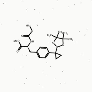 COC(=O)[C@H](Cc1ccc(C2(B3OC(C)(C)C(C)(C)O3)CC2)cc1)NC(=O)OC(C)(C)C